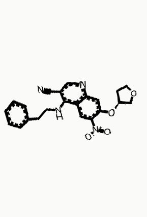 N#Cc1cnc2cc(O[C@H]3CCOC3)c([N+](=O)[O-])cc2c1NCCc1ccccc1